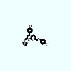 Clc1ccc(CCC(Cn2ccnc2)OC2CCCC(CSc3ccc(Cl)cc3)O2)cc1